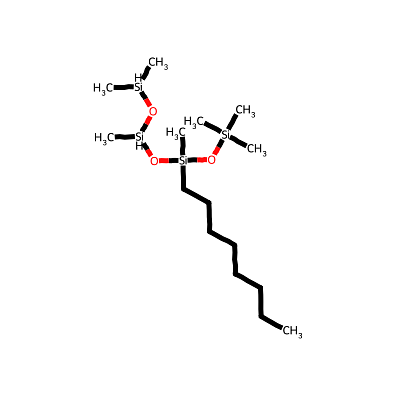 CCCCCCCC[Si](C)(O[SiH](C)O[SiH](C)C)O[Si](C)(C)C